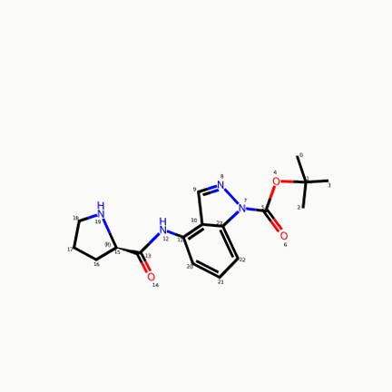 CC(C)(C)OC(=O)n1ncc2c(NC(=O)[C@H]3CCCN3)cccc21